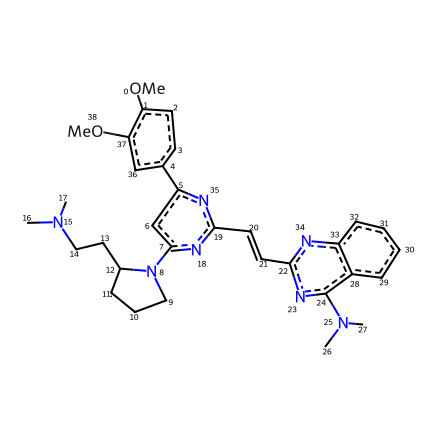 COc1ccc(-c2cc(N3CC[CH]C3CCN(C)C)nc(C=Cc3nc(N(C)C)c4ccccc4n3)n2)cc1OC